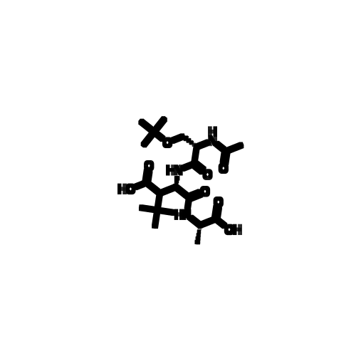 CC(=O)N[C@@H](COC(C)(C)C)C(=O)N[C@H](C(=O)N[C@@H](C)C(=O)O)C(C(=O)O)C(C)(C)C